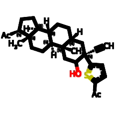 C#C[C@@]1(c2ccc(C(C)=O)s2)C[C@H]2CC[C@@H]3[C@H](CC[C@]4(C)[C@@H](C(C)=O)CC[C@@H]34)[C@@]2(C)CC1O